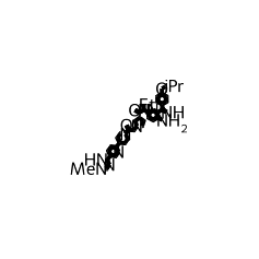 CCN(C(=O)[C@@H]1CCN(CC(=O)N2CC=C(c3ccc(C(=N)/N=C\NC)cn3)CC2)C1)c1ccc(N)c(C(=N)c2ccc(OC(C)C)cc2)n1